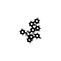 Cc1ccc2c(c1)c1ccccc1n2-c1ccc(-c2cccc3c4ccccc4n(-c4ccccc4)c23)cc1-c1nc(-c2ccccc2)nc(-c2ccccc2)n1